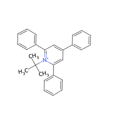 CC(C)(C)[n+]1c(-c2ccccc2)cc(-c2ccccc2)cc1-c1ccccc1